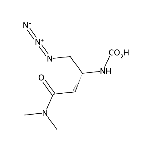 CN(C)C(=O)C[C@H](CN=[N+]=[N-])NC(=O)O